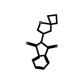 O=C1c2ccccc2C(=O)N1C1COC2(CCC2)C1